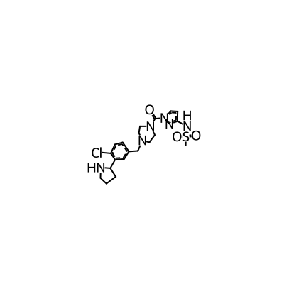 CS(=O)(=O)Nc1ccn(C(=O)N2CCN(Cc3ccc(Cl)c(C4CCCN4)c3)CC2)n1